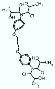 CC(O)C(Cl)N(c1ccc(OCCCOc2ccc(N(C(Cl)C(C)O)C(Cl)C(C)O)cc2)cc1)C(Cl)C(C)O